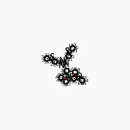 c1ccc(-c2cc(-c3nc(-c4ccc5c(c4)sc4ccccc45)nc(-c4ccc5c(c4)sc4ccccc45)n3)cc(-c3ccccc3)c2-n2c3ccccc3c3cc4c(cc32)oc2ccccc24)cc1